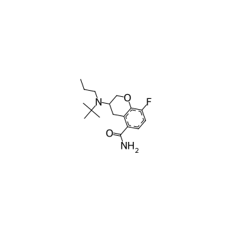 CCCN(C1COc2c(F)ccc(C(N)=O)c2C1)C(C)(C)C